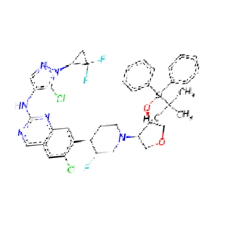 CC(C)(C)[Si](O[C@H]1COC[C@H]1N1CC[C@H](c2cc3nc(Nc4cnn([C@H]5CC5(F)F)c4Cl)ncc3cc2Cl)[C@@H](F)C1)(c1ccccc1)c1ccccc1